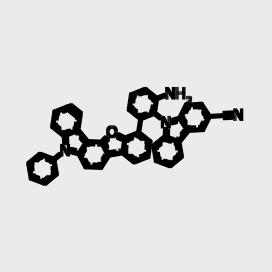 N#Cc1ccc2c(c1)c1ccccc1n2-c1c(N)cccc1-c1cccc2c1oc1c2ccc2c1c1c#cccc1n2-c1ccccc1